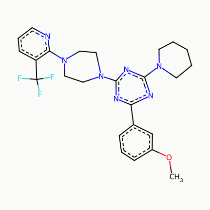 COc1cccc(-c2nc(N3CCCCC3)nc(N3CCN(c4ncccc4C(F)(F)F)CC3)n2)c1